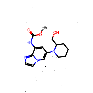 CC(C)(C)OC(=O)Nc1cc(N2CCCCC2CO)cn2ccnc12